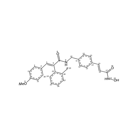 COc1ccc(C=C(C(=O)NCc2ccc(C=CC(=O)NO)cc2)c2ccccc2F)cc1